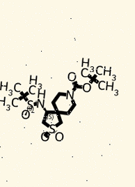 CC(C)(C)OC(=O)N1CCC2(CC1)CS(=O)(=O)C[C@H]2N[S@+]([O-])C(C)(C)C